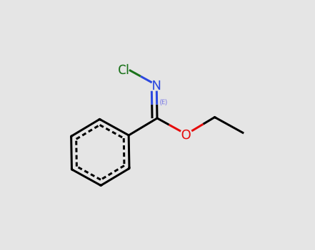 CCO/C(=N/Cl)c1ccccc1